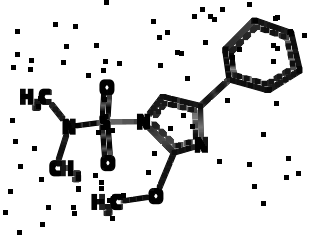 COc1nc(-c2ccccc2)cn1S(=O)(=O)N(C)C